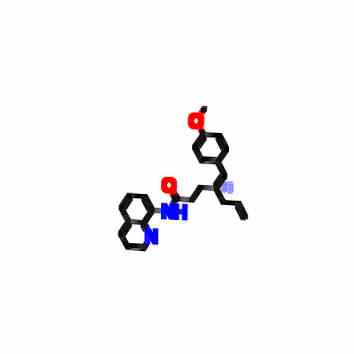 C=CC/C(=C/c1ccc(OC)cc1)CCC(=O)Nc1cccc2cccnc12